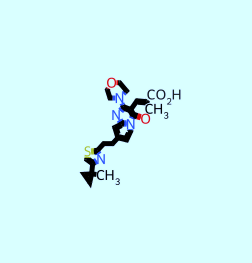 CC(=Cc1c(N2CCOCC2)nc2cc(CCc3nc(C4(C)CC4)cs3)ccn2c1=O)C(=O)O